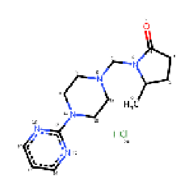 CC1CCC(=O)N1CN1CCN(c2ncccn2)CC1.Cl